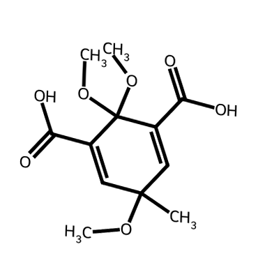 COC1(C)C=C(C(=O)O)C(OC)(OC)C(C(=O)O)=C1